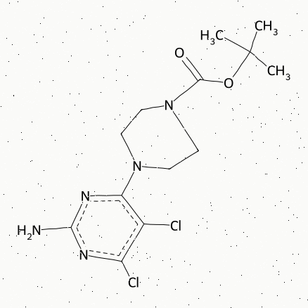 CC(C)(C)OC(=O)N1CCN(c2nc(N)nc(Cl)c2Cl)CC1